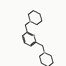 c1cc(CN2CCCCC2)nc(CN2CCCCC2)c1